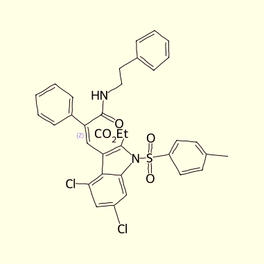 CCOC(=O)c1c(/C=C(\C(=O)NCCc2ccccc2)c2ccccc2)c2c(Cl)cc(Cl)cc2n1S(=O)(=O)c1ccc(C)cc1